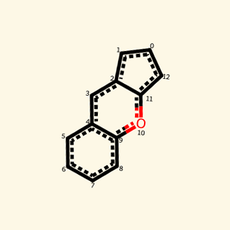 c1cc2cc3ccccc3oc-2c1